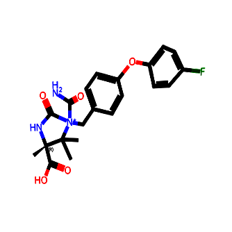 CC1(C)[C@](C)(C(=O)O)NC(=O)[N+]1(Cc1ccc(Oc2ccc(F)cc2)cc1)C(N)=O